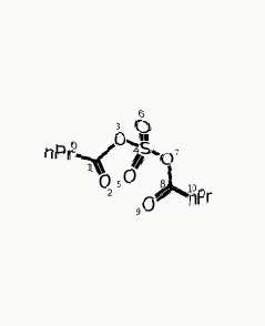 CCCC(=O)OS(=O)(=O)OC(=O)CCC